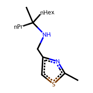 CCCCCCC(C)(CCC)NCc1csc(C)n1